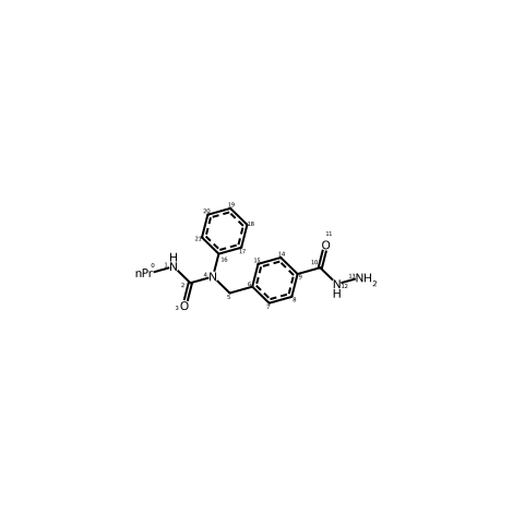 CCCNC(=O)N(Cc1ccc(C(=O)NN)cc1)c1ccccc1